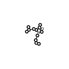 c1ccc2c(c1)ccc1ccc(-c3ccc(N(c4ccc5ccc(-c6cc7ccccc7c7ccccc67)cc5c4)c4cccc5oc6c7ccccc7ccc6c45)cc3)cc12